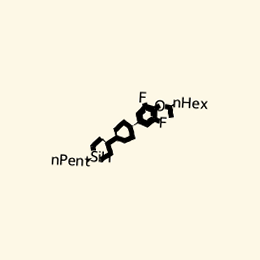 CCCCCC[C@H](C)Oc1c(F)cc([C@H]2CC[C@H]([C@H]3CC[Si@H](CCCCC)CC3)CC2)cc1F